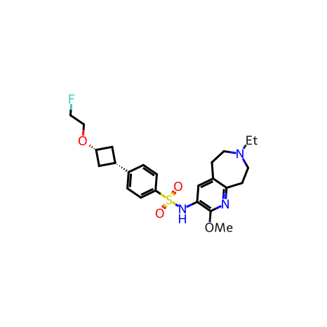 CCN1CCc2cc(NS(=O)(=O)c3ccc([C@H]4C[C@@H](OCCF)C4)cc3)c(OC)nc2CC1